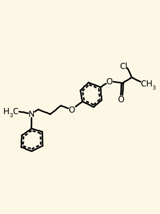 CC(Cl)C(=O)Oc1ccc(OCCCN(C)c2ccccc2)cc1